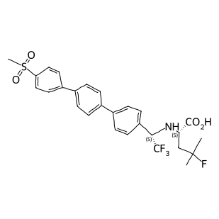 CC(C)(F)C[C@H](N[C@@H](c1ccc(-c2ccc(-c3ccc(S(C)(=O)=O)cc3)cc2)cc1)C(F)(F)F)C(=O)O